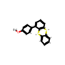 CCOc1ccc(-c2cccc3c2Sc2ccccc2S3)cc1